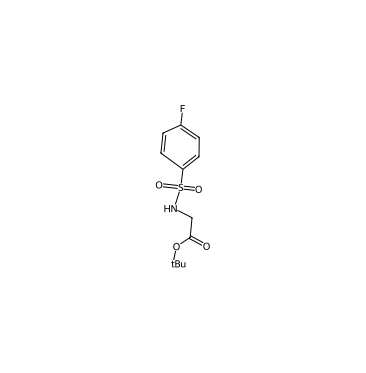 CC(C)(C)OC(=O)CNS(=O)(=O)c1ccc(F)cc1